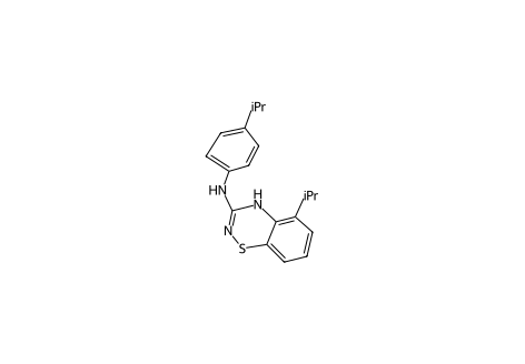 CC(C)c1ccc(NC2=NSc3cccc(C(C)C)c3N2)cc1